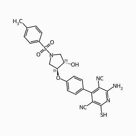 [C-]#[N+]c1c(N)nc(S)c(C#N)c1-c1ccc(O[C@H]2CN(S(=O)(=O)c3ccc(C)cc3)C[C@@H]2O)cc1